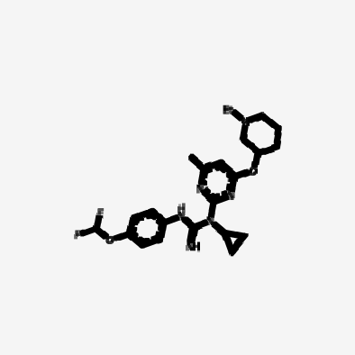 CCN1CCCC(Oc2cc(C)nc(N(C(=N)Nc3ccc(OC(F)F)cc3)C3CC3)n2)C1